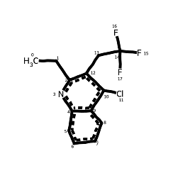 CCc1nc2cc[c]cc2c(Cl)c1CC(F)(F)F